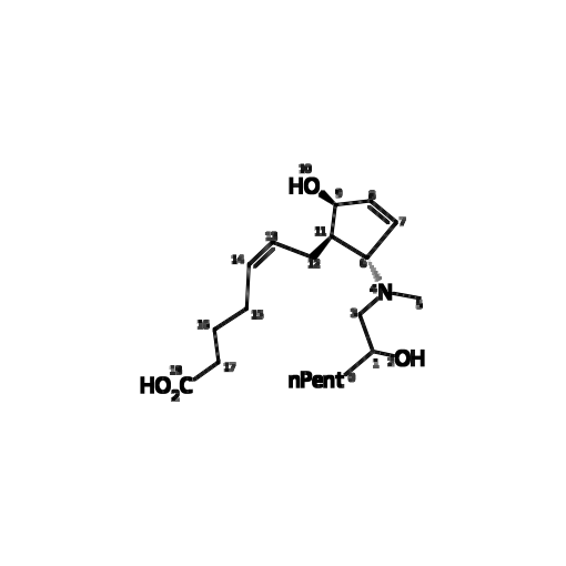 CCCCCC(O)CN(C)[C@H]1C=C[C@H](O)[C@@H]1C/C=C\CCCC(=O)O